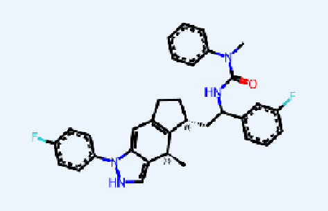 C[C@H]1C2=CNN(c3ccc(F)cc3)C2=CC2=C1[C@@H](CC(NC(=O)N(C)c1ccccc1)c1cccc(F)c1)CC2